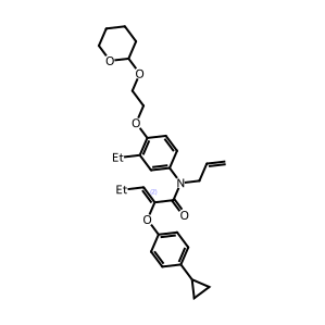 C=CCN(C(=O)/C(=C/CC)Oc1ccc(C2CC2)cc1)c1ccc(OCCOC2CCCCO2)c(CC)c1